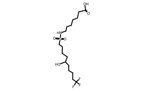 O=C(O)CCCCCCNS(=O)(=O)CCCCC(O)CCCCC(F)(F)F